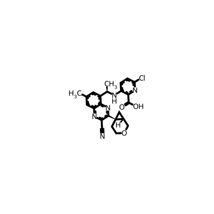 Cc1cc([C@@H](C)Nc2ccc(Cl)nc2C(=O)O)c2nc([C@]34CCOC[C@H]3C4)c(C#N)nc2c1